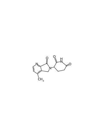 Cc1ccnc2c1CN(C1CCC(=O)NC1=O)C2=O